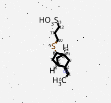 C/C=C1/C[C@H]2C[C@@H]1C[C@@H]2SCCCS(=O)(=O)O